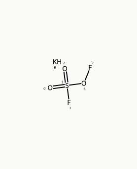 O=S(=O)(F)OF.[KH]